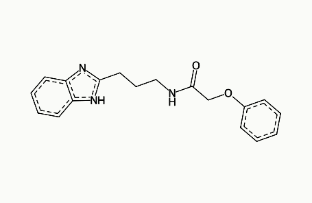 O=C(COc1ccccc1)NCCCc1nc2ccccc2[nH]1